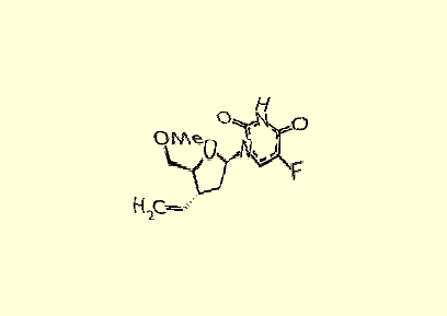 C=C[C@H]1C[C@H](n2cc(F)c(=O)[nH]c2=O)O[C@@H]1COC